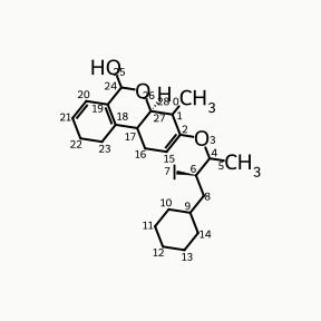 CC1C(OC(C)[C@H](I)CC2CCCCC2)=CCC2C3=C(C=CCC3)C(O)O[C@@H]12